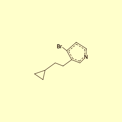 Brc1ccncc1CCC1CC1